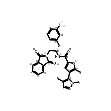 Cc1cnn(C)c1-c1cc(C(=O)N[C@@H](Cc2cccc(C(F)(F)F)c2)CN2C(=O)c3ccccc3C2=O)sc1C